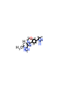 CC(C)n1ncnc1-c1cn2c(n1)-c1ccc(-c3ccn[nH]3)cc1OCC2